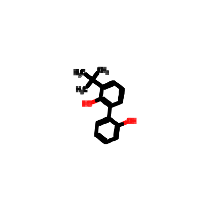 CC(C)(C)c1cccc(-c2ccccc2O)c1O